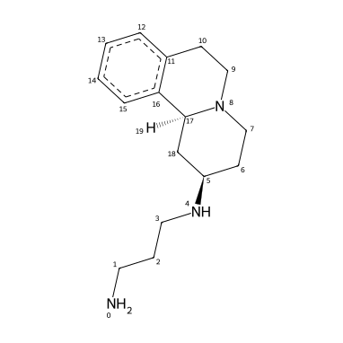 NCCCN[C@@H]1CCN2CCc3ccccc3[C@@H]2C1